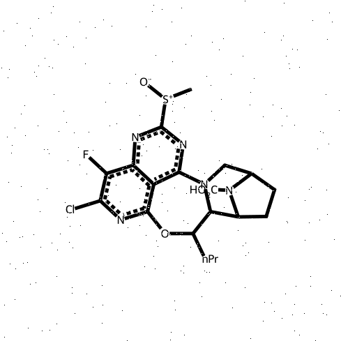 CCCC1Oc2nc(Cl)c(F)c3nc([S+](C)[O-])nc(c23)N2CC3CCC(C12)N3C(=O)O